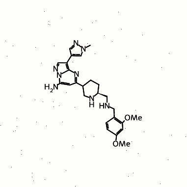 COc1ccc(CNC[C@@H]2CCC(c3cc(N)n4ncc(-c5cnn(C)c5)c4n3)CN2)c(OC)c1